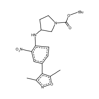 Cc1noc(C)c1-c1ccc(NC2CCN(C(=O)OC(C)(C)C)C2)c([N+](=O)[O-])c1